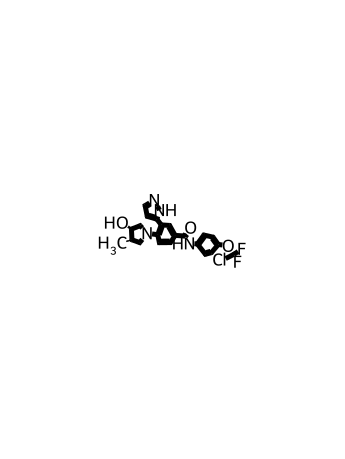 C[C@H]1CN(c2ccc(C(=O)Nc3ccc(OC(F)(F)Cl)cc3)cc2-c2ccn[nH]2)C[C@@H]1O